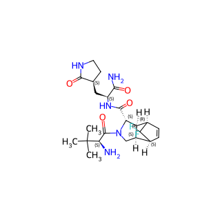 CC(C)(C)[C@H](N)C(=O)N1C[C@H]2[C@@H]([C@H]1C(=O)N[C@@H](C[C@@H]1CCNC1=O)C(N)=O)[C@H]1C=C[C@@H]2C1(F)F